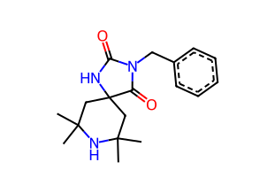 CC1(C)CC2(CC(C)(C)N1)NC(=O)N(Cc1ccccc1)C2=O